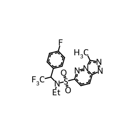 CCN(C(c1ccc(F)cc1)C(F)(F)F)S(=O)(=O)c1ccc2nnc(C)n2n1